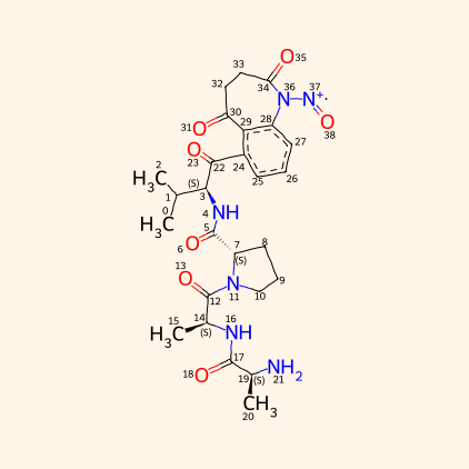 CC(C)[C@H](NC(=O)[C@@H]1CCCN1C(=O)[C@H](C)NC(=O)[C@H](C)N)C(=O)c1cccc2c1C(=O)CCC(=O)N2[N+]=O